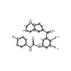 O=C(Nc1ccc(F)cc1)Nc1cc(F)c(F)c(C(=O)c2ccc3ncncc3c2)c1